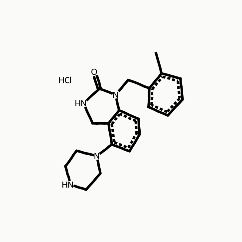 Cc1ccccc1CN1C(=O)NCc2c(N3CCNCC3)cccc21.Cl